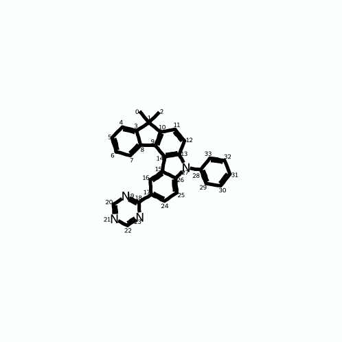 CC1(C)c2ccccc2-c2c1ccc1c2c2cc(-c3ncncn3)ccc2n1-c1ccccc1